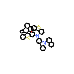 c1ccc2c(c1)Sc1cc(N(c3ccc4c5ccccc5n(-c5cccc6ccccc56)c4c3)c3cccc4sc5ccccc5c34)ccc1C21c2ccccc2-c2cccc3cccc1c23